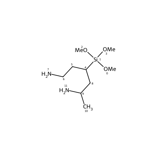 CO[Si](OC)(OC)C(CCN)CC(C)N